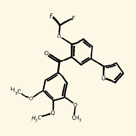 COc1cc(C(=O)c2cc(-c3ccco3)ccc2OC(F)F)cc(OC)c1OC